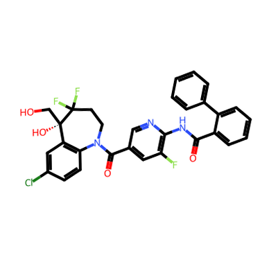 O=C(Nc1ncc(C(=O)N2CCC(F)(F)[C@](O)(CO)c3cc(Cl)ccc32)cc1F)c1ccccc1-c1ccccc1